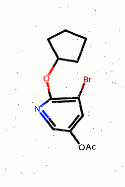 CC(=O)Oc1cnc(OC2CCCC2)c(Br)c1